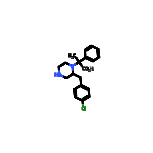 CC(C(=O)O)(c1ccccc1)N1CCNCC1Cc1ccc(Cl)cc1